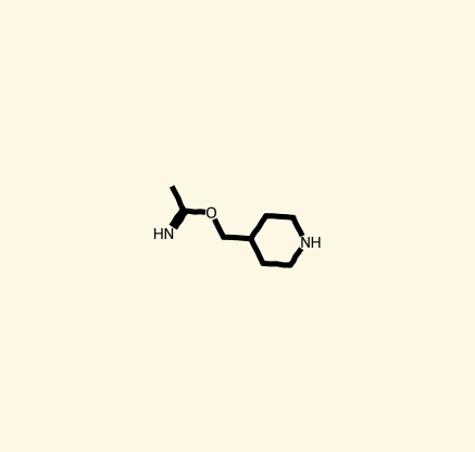 CC(=N)OCC1CCNCC1